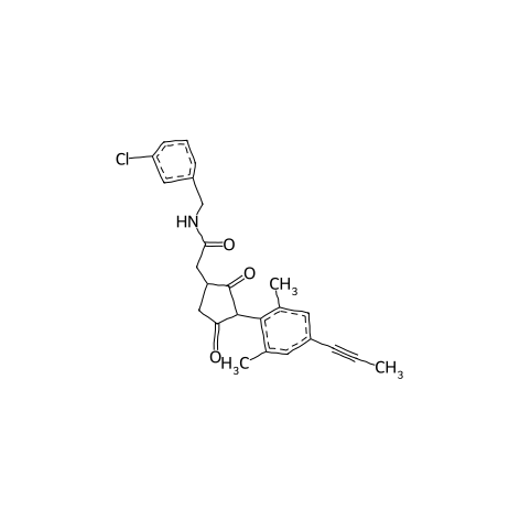 CC#Cc1cc(C)c(C2C(=O)CC(CC(=O)NCc3cccc(Cl)c3)C2=O)c(C)c1